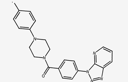 O=C(c1ccc(-n2nnc3cccnc32)cc1)N1CCN(c2ccc(F)cc2)CC1